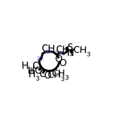 C/C1=C/CC(/C(C)=C/c2csc(C)n2)OC(=O)CCC(C)(C)C(=O)C(C)C(O)C(C)/C=C/C1